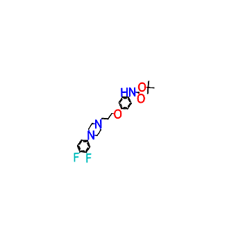 CC(C)(C)OC(=O)Nc1ccc(OCCCN2CCN(c3ccc(F)c(F)c3)CC2)cc1